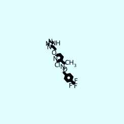 C/C(=N\OCc1ccc(C(F)(F)F)cc1)c1ccc(OCc2nnn[nH]2)nc1Cl